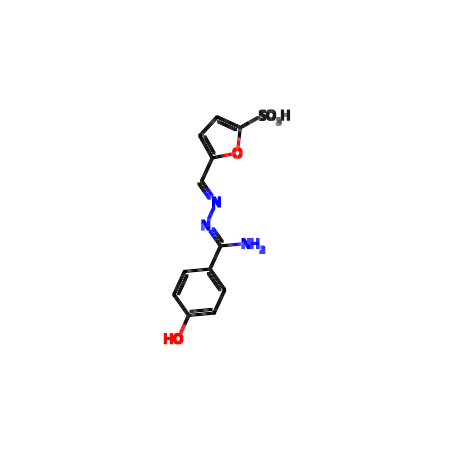 N/C(=N\N=C\c1ccc(S(=O)(=O)O)o1)c1ccc(O)cc1